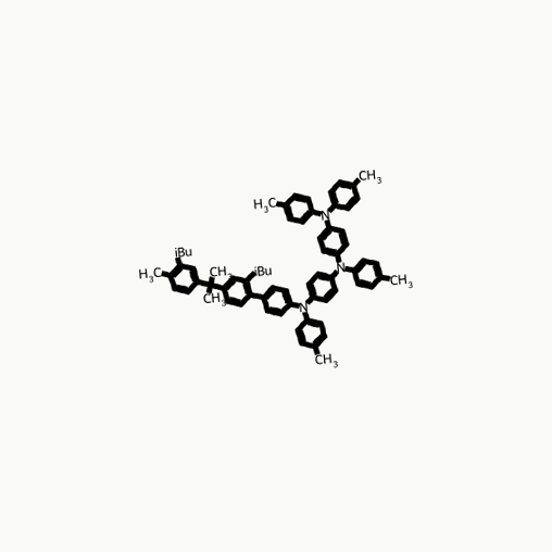 CCC(C)c1cc(C(C)(C)c2ccc(-c3ccc(N(c4ccc(C)cc4)c4ccc(N(c5ccc(C)cc5)c5ccc(N(c6ccc(C)cc6)c6ccc(C)cc6)cc5)cc4)cc3)c(C(C)CC)c2)ccc1C